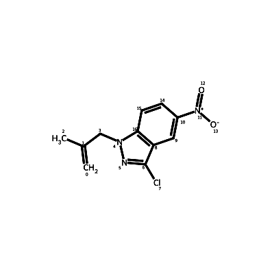 C=C(C)Cn1nc(Cl)c2cc([N+](=O)[O-])ccc21